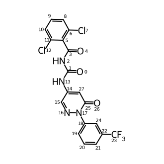 O=C(NC(=O)c1c(Cl)cccc1Cl)Nc1cnn(-c2cccc(C(F)(F)F)c2)c(=O)c1